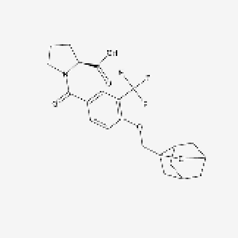 O=C(O)[C@@H]1CCCN1C(=O)c1ccc(OCC23CC4CC(CC2C4)C3)c(C(F)(F)F)c1